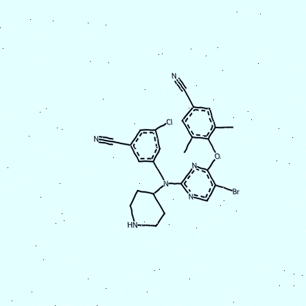 Cc1cc(C#N)cc(C)c1Oc1nc(N(c2cc(Cl)cc(C#N)c2)C2CCNCC2)ncc1Br